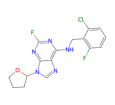 Fc1nc(NCc2c(F)cccc2Cl)c2ncn(C3CCCO3)c2n1